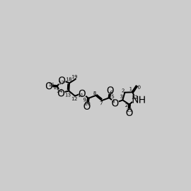 C=C1CC(OC(=O)/C=C/C(=O)OCc2oc(=O)oc2C)C(=O)N1